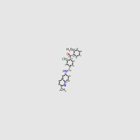 Cc1ccc2cc(NSc3ccc(C(=O)c4ccccc4C)c(Cl)c3)ccc2n1